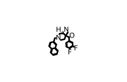 NCC1(C(=O)c2ccc(F)c(F)c2)CCN(Cc2ccc3ccccc3c2)CC1